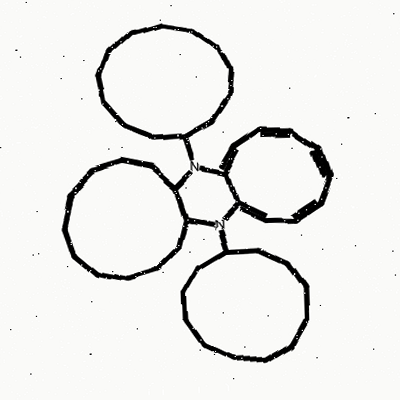 c1ccccc2c(ccc1)N(C1CCCCCCCCCCCC1)C1CCCCCCCCCCC1N2C1CCCCCCCCCCC1